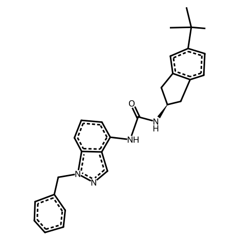 CC(C)(C)c1ccc2c(c1)C[C@H](NC(=O)Nc1cccc3c1cnn3Cc1ccccc1)C2